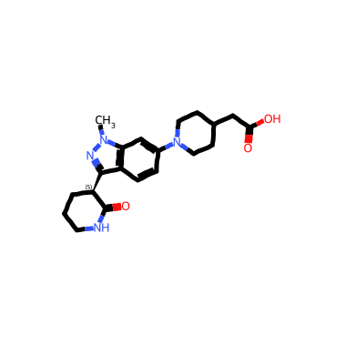 Cn1nc([C@@H]2CCCNC2=O)c2ccc(N3CCC(CC(=O)O)CC3)cc21